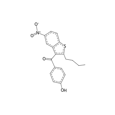 CCCCc1sc2ccc([N+](=O)[O-])cc2c1C(=O)c1ccc(O)cc1